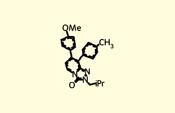 COc1ccc(-c2ccn3c(=O)n(CC(C)C)nc3c2-c2ccc(C)cc2)cc1